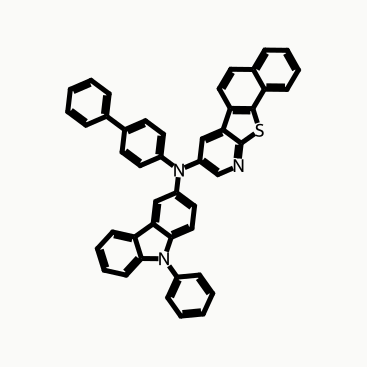 c1ccc(-c2ccc(N(c3cnc4sc5c6ccccc6ccc5c4c3)c3ccc4c(c3)c3ccccc3n4-c3ccccc3)cc2)cc1